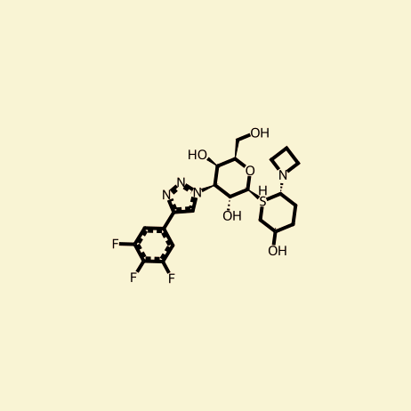 OC[C@H]1O[C@@H]([SH]2C[C](O)CC[C@H]2N2CCC2)[C@H](O)[C@@H](n2cc(-c3cc(F)c(F)c(F)c3)nn2)[C@H]1O